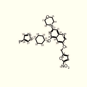 O=[N+]([O-])c1ccc(COc2cnc3cc(N4CCOCC4)nc(O[C@H]4CC[C@@H](n5cc(F)cn5)CC4)c3c2)o1